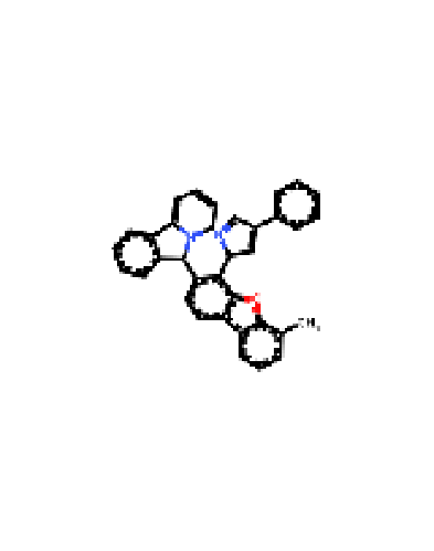 Cc1cccc2c1oc1c(C3C=C(c4ccccc4)C=N3)c(C3c4ccccc4C4=CC=CCN43)ccc12